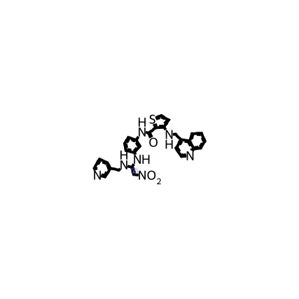 O=C(Nc1cccc(N/C(=C\[N+](=O)[O-])NCc2cccnc2)c1)c1sccc1NCc1ccnc2ccccc12